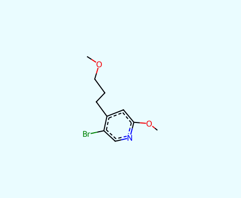 COCCCc1cc(OC)ncc1Br